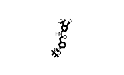 CC1(C)OB(c2cccc(CC(=O)Nc3ccc(C#N)c(C(F)(F)F)c3)c2)OC1(C)C